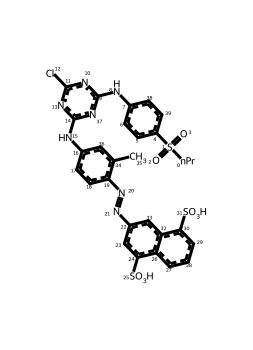 CCCS(=O)(=O)c1ccc(Nc2nc(Cl)nc(Nc3ccc(N=Nc4cc(S(=O)(=O)O)c5cccc(S(=O)(=O)O)c5c4)c(C)c3)n2)cc1